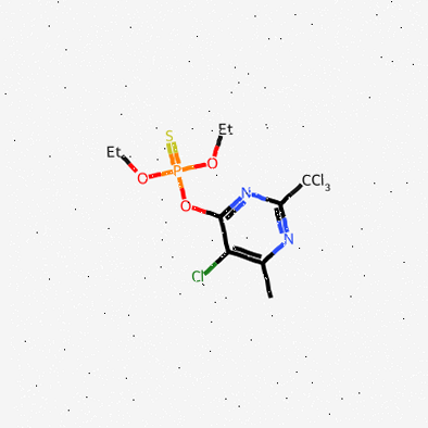 CCOP(=S)(OCC)Oc1nc(C(Cl)(Cl)Cl)nc(C)c1Cl